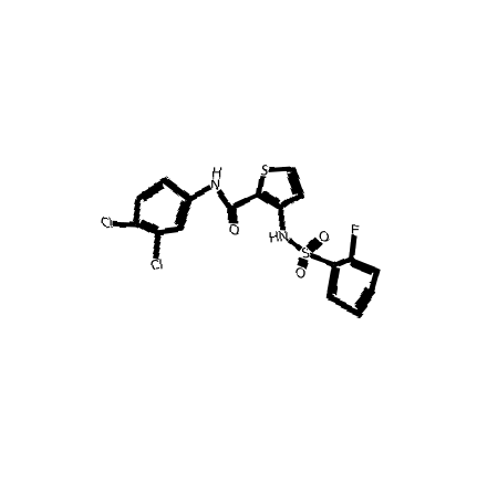 O=C(Nc1ccc(Cl)c(Cl)c1)c1sccc1NS(=O)(=O)c1ccccc1F